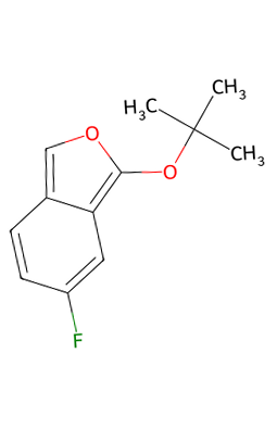 CC(C)(C)Oc1occ2ccc(F)cc12